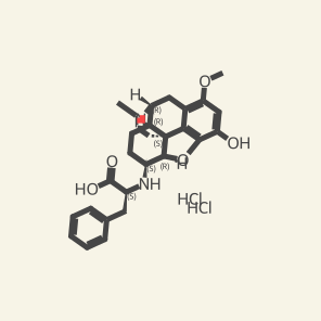 COc1cc(O)c2c3c1C[C@@H]1[C@@H]4CC[C@H](N[C@@H](Cc5ccccc5)C(=O)O)[C@H](O2)[C@]34CCN1C.Cl.Cl